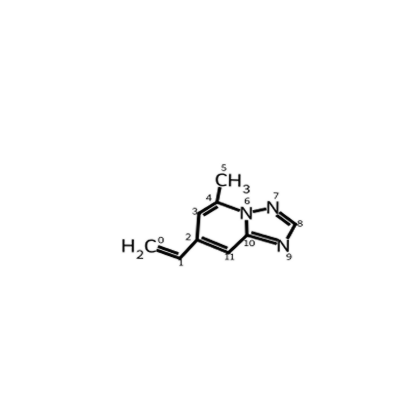 C=Cc1cc(C)n2ncnc2c1